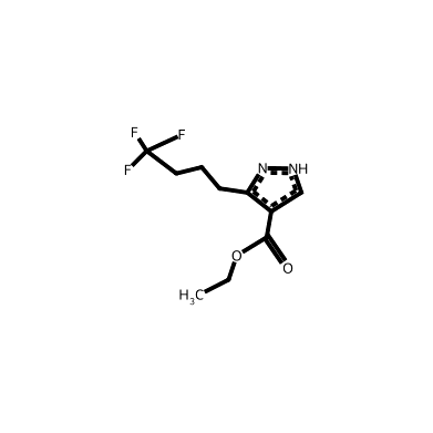 CCOC(=O)c1c[nH]nc1CCCC(F)(F)F